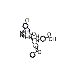 O=C(/C=C/c1cc(Cl)ccc1-n1cnnn1)N[C@@H](CNc1ccc(C(=O)O)cc1)CC1CCN(C(=O)c2ccccc2)C1